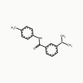 [CH2]c1ccc(NC(=O)c2cccc(N(C)C)c2)cc1